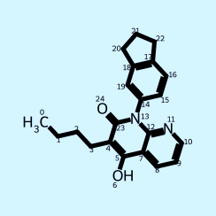 CCCCc1c(O)c2cccnc2n(-c2ccc3c(c2)CCC3)c1=O